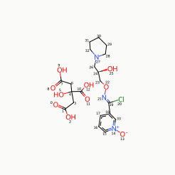 O=C(O)CC(O)(CC(=O)O)C(=O)O.[O-][n+]1cccc(/C(Cl)=N/OC[C@H](O)CN2CCCCC2)c1